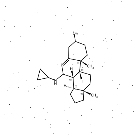 C[C@@]12CCC[C@H]1[C@@H]1C(NC3CC3)C=C3CC(O)CC[C@]3(C)[C@@H]1CC2